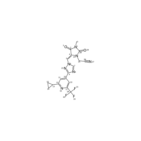 CN1C(=O)/C(=C/n2cnc(-c3cc(C4CC4)nc(C(F)(F)F)c3)n2)N(CC#N)C1=O